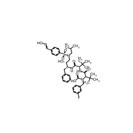 CC(C)CN(C[C@@H](O)[C@H](Cc1ccccc1)NC(=O)[C@H](NC(=O)C(N(Cc1cccc(F)c1)C(=O)O)C(C)(C)C)C(C)(C)C)S(=O)(=O)c1ccc(C=NO)cc1